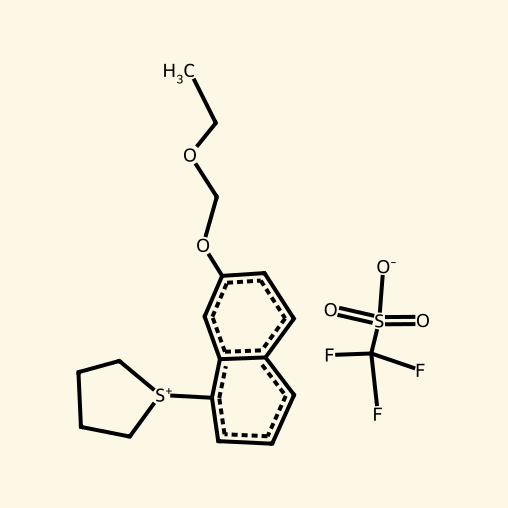 CCOCOc1ccc2cccc([S+]3CCCC3)c2c1.O=S(=O)([O-])C(F)(F)F